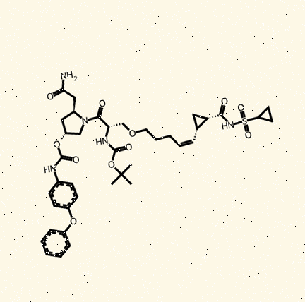 CC(C)(C)OC(=O)N[C@@H](COCCC/C=C\[C@@H]1C[C@@H]1C(=O)NS(=O)(=O)C1CC1)C(=O)N1C[C@H](OC(=O)Nc2ccc(Oc3ccccc3)cc2)C[C@H]1CC(N)=O